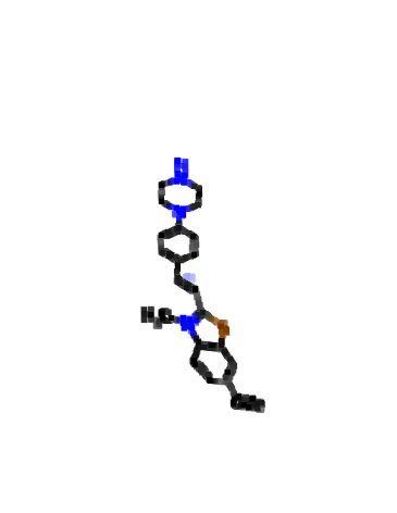 COc1ccc2c(c1)sc(/C=C/c1ccc(N3CCNCC3)cc1)[n+]2C